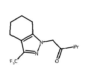 CC(C)C(=O)Cn1nc(C(F)(F)F)c2c1CCCC2